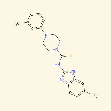 FC(F)(F)c1cccc(N2CCN(C(=S)Nc3nc4ccc(C(F)(F)F)cc4[nH]3)CC2)c1